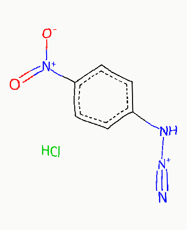 Cl.N#[N+]Nc1ccc([N+](=O)[O-])cc1